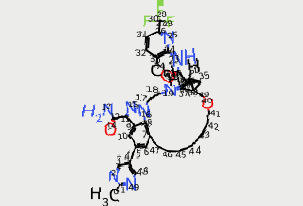 Cc1ncc(-c2cc3c4c(c2)c(C(N)=O)nn4CCN2[C@H](C(=O)Nc4nc(C(F)(F)F)ccc4C)C4C5[C@@H]2[C@@]45COCCCCCCC3)cn1